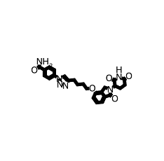 NC(=O)c1ccc(-n2cc(CCCCOc3cccc4c3CN(C3CCC(=O)NC3=O)C4=O)nn2)cc1